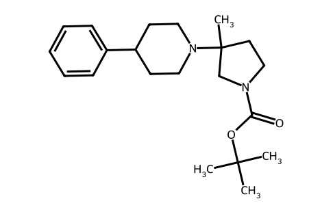 CC(C)(C)OC(=O)N1CCC(C)(N2CCC(c3ccccc3)CC2)C1